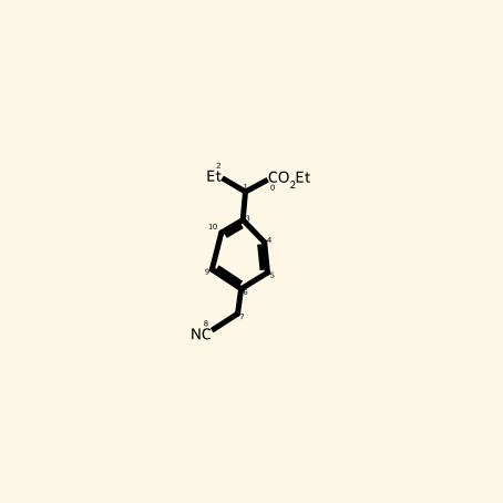 CCOC(=O)C(CC)c1ccc(CC#N)cc1